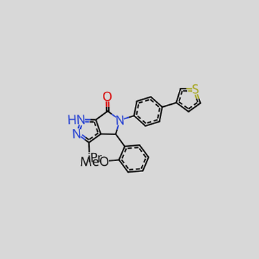 COc1ccccc1C1c2c(C(C)C)n[nH]c2C(=O)N1c1ccc(-c2ccsc2)cc1